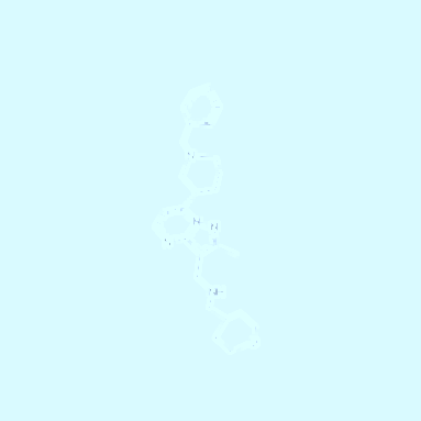 Cc1nn2c([C@H]3CCCN(Cc4ccccc4)C3)ccnc2c1CNCC1CCOCC1